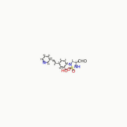 O=CC1CN(c2ccc(/C=C/c3cccnc3)cc2O)S(=O)(=O)N1